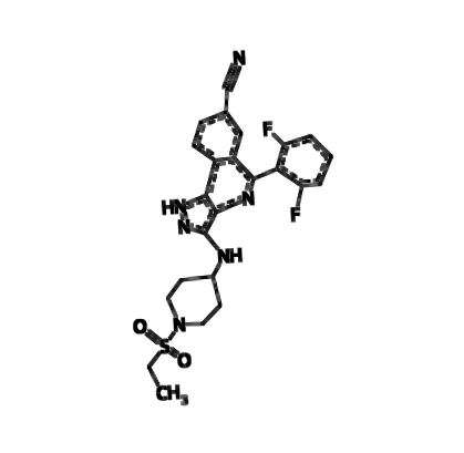 CCS(=O)(=O)N1CCC(Nc2n[nH]c3c2nc(-c2c(F)cccc2F)c2cc(C#N)ccc23)CC1